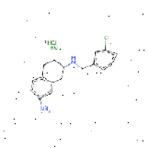 Cl.Cl.Nc1ccc2c(c1)CC(NCc1cccc(Cl)c1)CC2